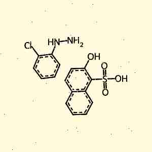 NNc1ccccc1Cl.O=S(=O)(O)c1c(O)ccc2ccccc12